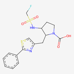 O=C(O)N1CCC(NS(=O)(=O)CF)C1Cc1csc(-c2ccccc2)n1